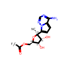 N#C[C@@]1(c2ccc3c(N)ncnn23)O[C@H](COC(=O)C(F)(F)F)[C@@H](O)[C@H]1O